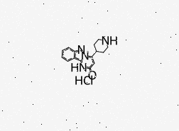 Cl.O=c1cc(C2CCNCC2)n2nc3ccccc3c2[nH]1